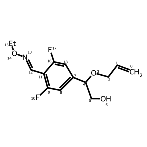 C=CCOC(CO)c1cc(F)c(C=NOCC)c(F)c1